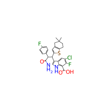 CC1(C)CCc2sc(C(c3c[nH]c4c(C(=O)O)c(F)c(Cl)cc34)C(C(N)=O)c3ccc(F)cc3)cc2C1